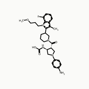 COCCCn1c(C2CCCN(C(=O)[C@@H]3CN(c4ccc(N)cc4)C[C@H]3NC(=O)O)C2)c(C)c2cccc(F)c21